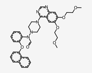 COCCOc1cc2ncnc(N3CCN(N(C=O)c4ccccc4Oc4cccc5ccccc45)CC3)c2cc1OCCOC